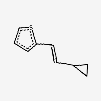 C(=CC1CC1)c1cccs1